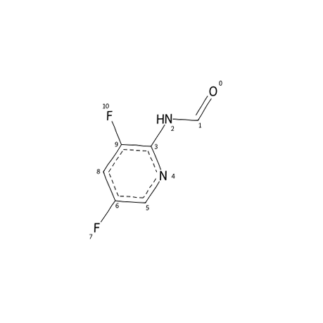 O=CNc1ncc(F)cc1F